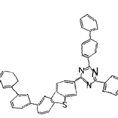 C1=CCCC(c2cccc(-c3ccc4sc5cc(-c6nc(-c7ccccc7)nc(-c7ccc(-c8ccccc8)cc7)n6)ccc5c4c3)c2)=C1